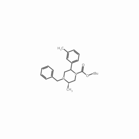 Cc1cccc(C2CN(Cc3ccccc3)[C@H](C)CN2C(=O)OC(C)(C)C)c1